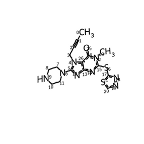 CC#CCn1c(N2CCNCC2)nc2nc(Sc3nncs3)n(C)c(=O)c21